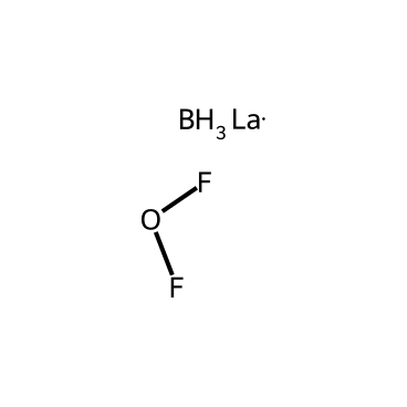 B.FOF.[La]